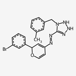 Cc1cccc(CN2NNN=C2N=NC2=CC(c3cccc(Br)c3)OC=C2)c1